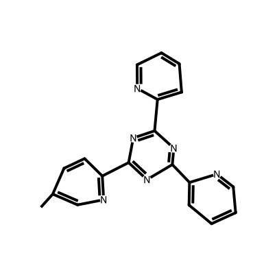 Cc1ccc(-c2nc(-c3ccccn3)nc(-c3ccccn3)n2)nc1